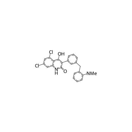 CNc1ccccc1Cc1cccc(-c2c(O)c3c(Cl)cc(Cl)cc3[nH]c2=O)c1